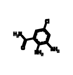 NC(=O)c1cc(Cl)cc(N)c1N